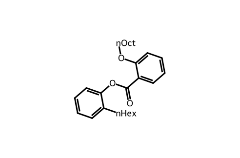 CCCCCCCCOc1ccccc1C(=O)Oc1ccccc1CCCCCC